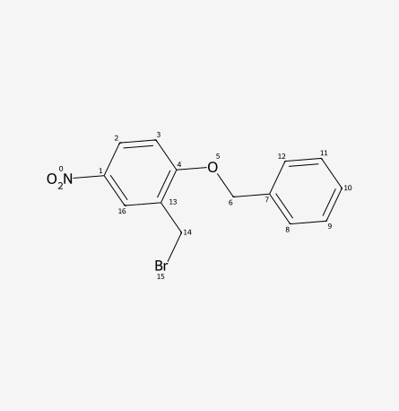 O=[N+]([O-])c1ccc(OCc2ccccc2)c(CBr)c1